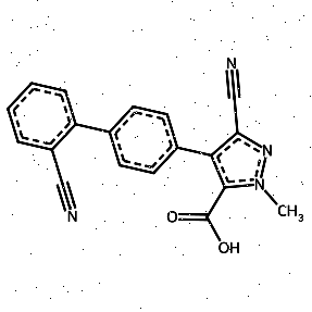 Cn1nc(C#N)c(-c2ccc(-c3ccccc3C#N)cc2)c1C(=O)O